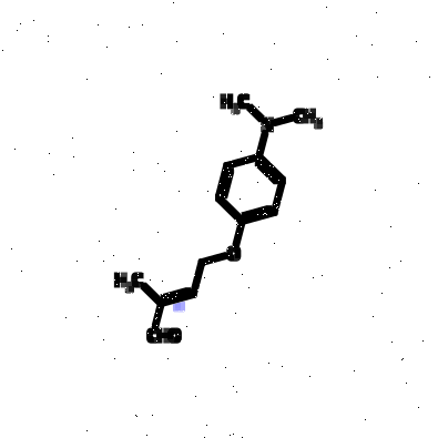 C/C(C=O)=C\COc1ccc(N(C)C)cc1